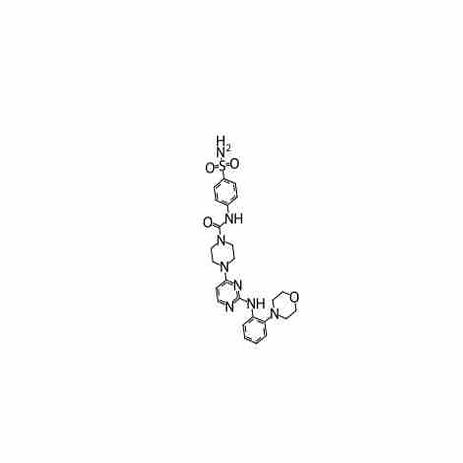 NS(=O)(=O)c1ccc(NC(=O)N2CCN(c3ccnc(Nc4ccccc4N4CCOCC4)n3)CC2)cc1